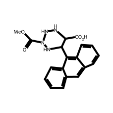 COC(=O)N1NNC(C(=O)O)C(c2c3ccccc3cc3ccccc23)N1